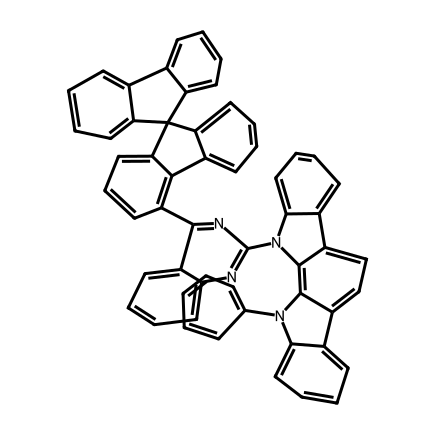 c1ccc(-n2c3ccccc3c3ccc4c5ccccc5n(-c5nc(-c6cccc7c6-c6ccccc6C76c7ccccc7-c7ccccc76)c6ccccc6n5)c4c32)cc1